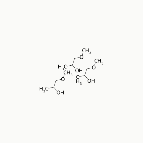 COCC(C)O.COCC(C)O.COCC(C)O